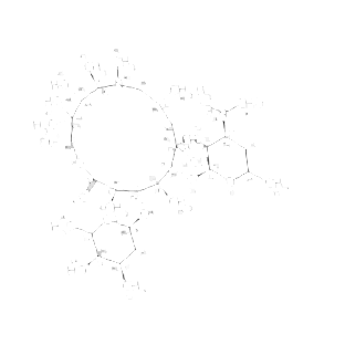 CC[C@H]1OC(=O)[C@H](C)[C@@H](O[C@H]2C[C@@H](C)[C@@H](O)C(C)O2)[C@H](C)[C@@H](O[C@@H]2OC(C)C[C@H](N(C)C=O)C2O)[C@](C)(O)C[C@@H](C)CN(C)[C@H](C)[C@@H](O)[C@]1(C)O